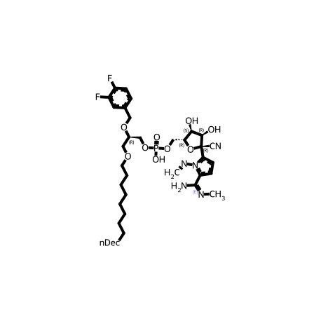 C=Nn1c(/C(N)=N\C)ccc1[C@]1(C#N)O[C@H](COP(=O)(O)OC[C@@H](COCCCCCCCCCCCCCCCCCC)OCc2ccc(F)c(F)c2)[C@@H](O)[C@H]1O